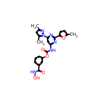 Cc1cc(C)n(-c2cc(NC(=O)Oc3cccc(C(=O)NO)c3)nc(-c3ccc(C)o3)n2)n1